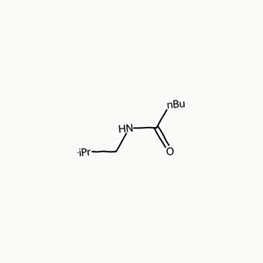 CCCCC(=O)NC[C](C)C